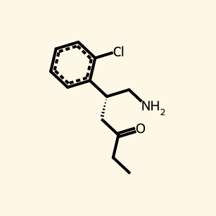 CCC(=O)C[C@@H](CN)c1ccccc1Cl